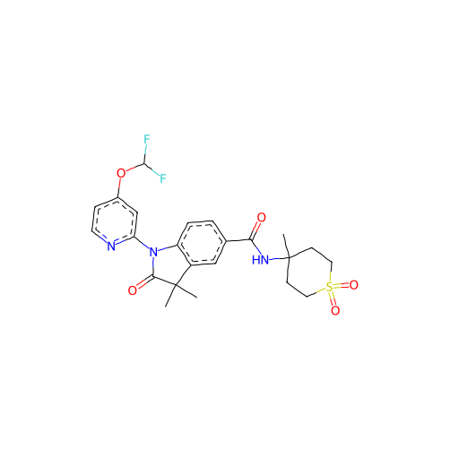 CC1(NC(=O)c2ccc3c(c2)C(C)(C)C(=O)N3c2cc(OC(F)F)ccn2)CCS(=O)(=O)CC1